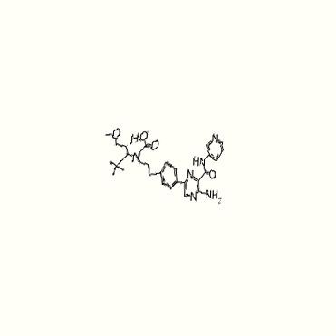 COCCC(N(CCCc1ccc(-c2cnc(N)c(C(=O)Nc3cccnc3)n2)cc1)C(=O)O)C(C)(C)C